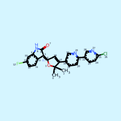 CC1(C)O/C(=C2/C(=O)Nc3cc(F)ccc32)C=C1c1ccc(-c2ccc(Cl)nc2)nc1